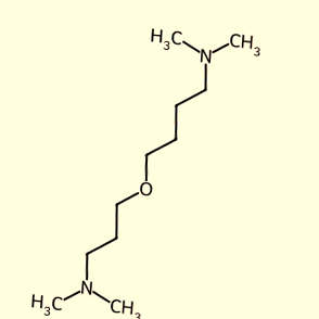 CN(C)CCCCOCCCN(C)C